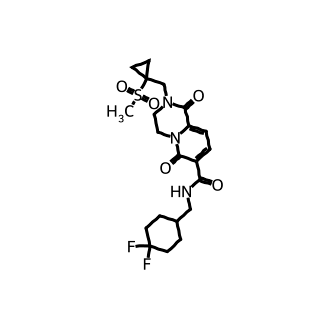 CS(=O)(=O)C1(CN2CCn3c(ccc(C(=O)NCC4CCC(F)(F)CC4)c3=O)C2=O)CC1